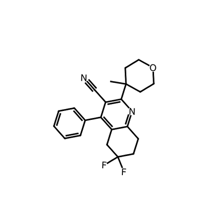 CC1(c2nc3c(c(-c4ccccc4)c2C#N)CC(F)(F)CC3)CCOCC1